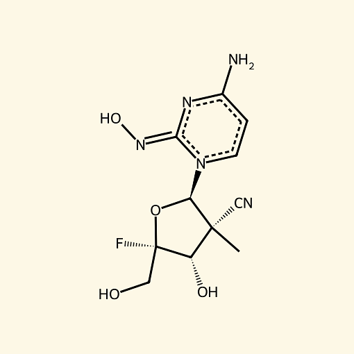 C[C@]1(C#N)[C@H](n2ccc(N)n/c2=N\O)O[C@](F)(CO)[C@H]1O